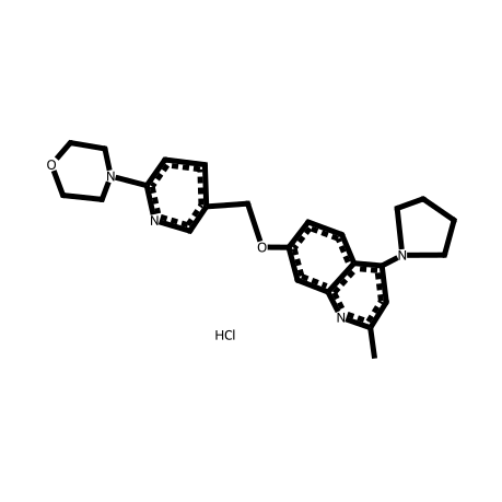 Cc1cc(N2CCCC2)c2ccc(OCc3ccc(N4CCOCC4)nc3)cc2n1.Cl